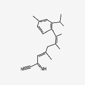 C/C(C/C(C)=C/C(=N)C#N)=C(\C)c1ccc(C)cc1C(C)C